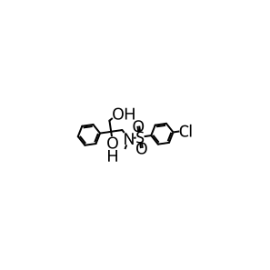 CN(CC(O)(CO)c1ccccc1)S(=O)(=O)c1ccc(Cl)cc1